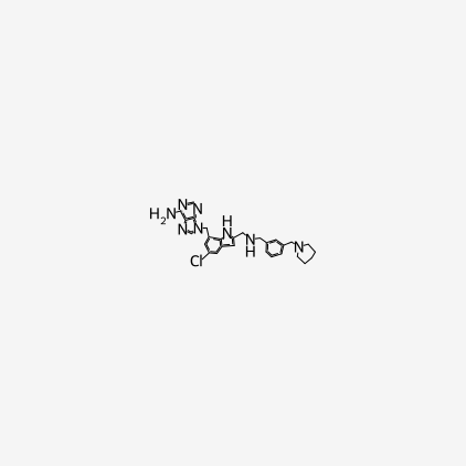 Nc1ncnc2c1ncn2Cc1cc(Cl)cc2cc(CNCc3cccc(CN4CCCCC4)c3)[nH]c12